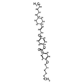 CCCCCCOc1ccc(C(=O)Oc2ccc(OC/C=C/C3CCC(CCCCC)CC3)cc2)cc1